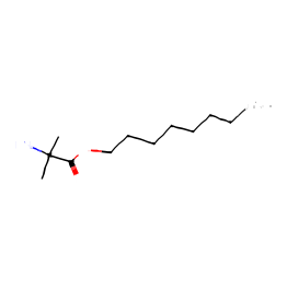 CCCCCCCCCCCCCCCCOC(=O)C(C)(C)N